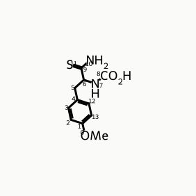 COc1ccc(CC(NC(=O)O)C(N)=S)cc1